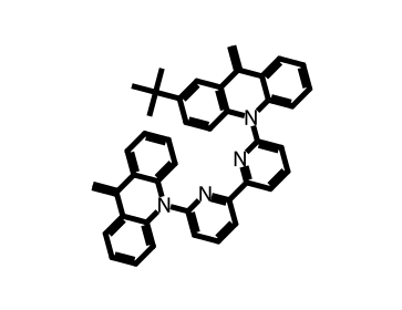 C=C1c2ccccc2N(c2cccc(-c3cccc(N4c5ccccc5C(=C)c5cc(C(C)(C)C)ccc54)n3)n2)c2ccccc21